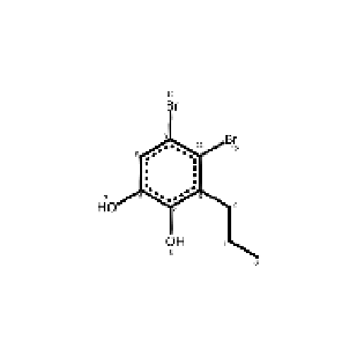 CCCc1c(O)c(O)cc(Br)c1Br